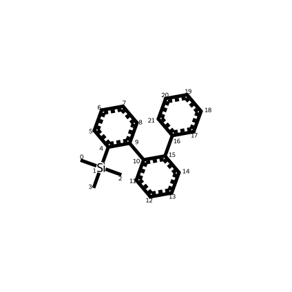 C[Si](C)(C)c1ccccc1-c1ccccc1-c1ccccc1